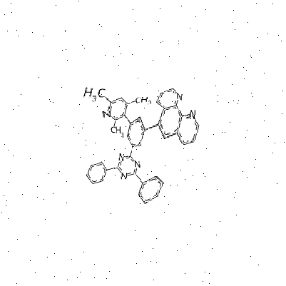 Cc1cc(C)c(-c2cc(-c3nc(-c4ccccc4)nc(-c4ccccc4)n3)cc(-c3cc4cccnc4c4ncccc34)c2)c(C)n1